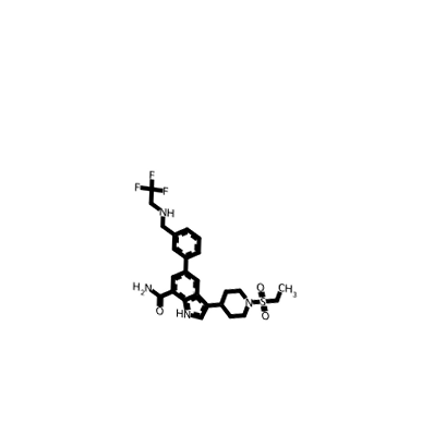 CCS(=O)(=O)N1CCC(c2c[nH]c3c(C(N)=O)cc(-c4cccc(CNCC(F)(F)F)c4)cc23)CC1